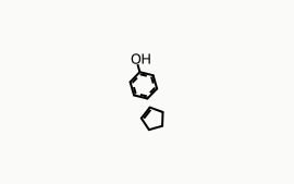 C1=CCCC1.Oc1ccccc1